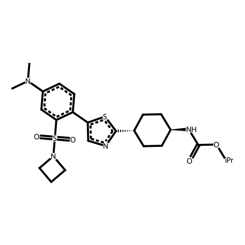 CC(C)OC(=O)N[C@H]1CC[C@H](c2ncc(-c3ccc(N(C)C)cc3S(=O)(=O)N3CCC3)s2)CC1